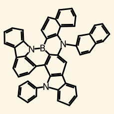 c1ccc(-n2c3ccccc3c3cc4c5c(c32)-c2cccc3c6ccccc6n(c23)B5c2ccc3ccccc3c2N4c2ccc3ccccc3c2)cc1